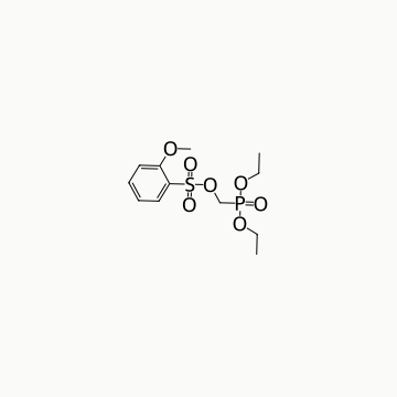 CCOP(=O)(COS(=O)(=O)c1ccccc1OC)OCC